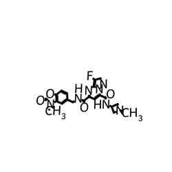 CN1CC(NC(=O)c2cc(C(=O)NCc3ccc4oc(=O)n(C)c4c3)nc3c(F)cnn23)C1